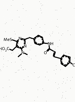 CSc1nc(Cc2ccc(NC(=O)/C=C/c3ccc(Cl)cc3)cc2)nc(N(C)C)c1CC(=O)O